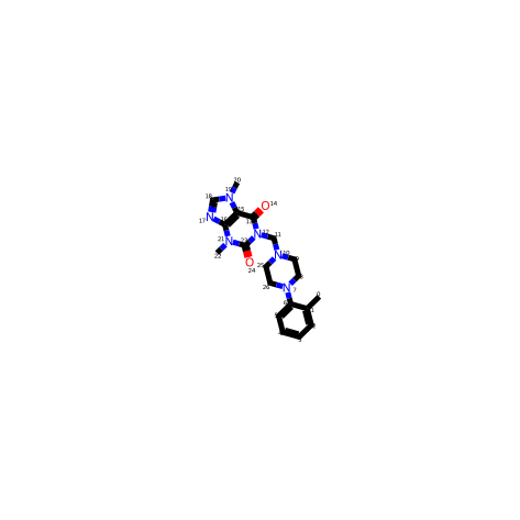 Cc1ccccc1N1CCN(Cn2c(=O)c3c(ncn3C)n(C)c2=O)CC1